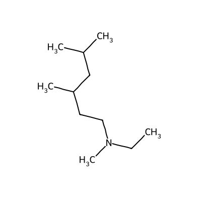 CCN(C)CCC(C)CC(C)C